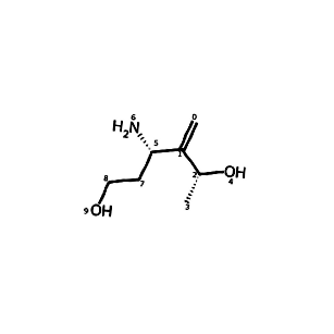 C=C([C@@H](C)O)[C@@H](N)CCO